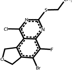 CCSc1nc(Cl)c2c3c(c(Br)c(F)c2n1)COC3